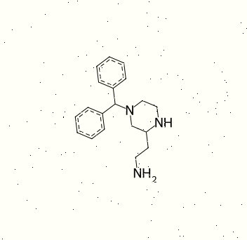 NCCC1CN(C(c2ccccc2)c2ccccc2)CCN1